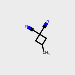 CC1CC(C#N)(C#N)C1